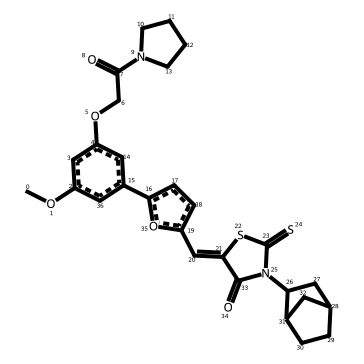 COc1cc(OCC(=O)N2CCCC2)cc(-c2ccc(/C=C3\SC(=S)N(C4CC5CCC4C5)C3=O)o2)c1